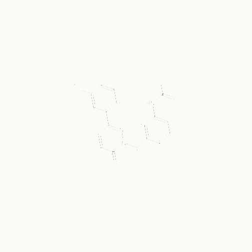 O=C(O)Nc1cccc(Cn2nc(-c3cccc(O)c3)ccc2=O)c1